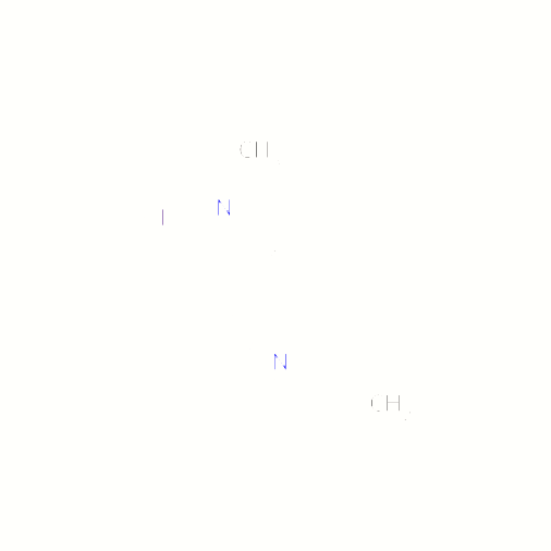 C=C/N=C\CN(C)I